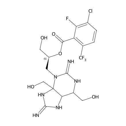 N=C1NC2C(CO)NC(=N)N(C[C@@H](CO)OC(=O)c3c(C(F)(F)F)ccc(Cl)c3F)C2(CO)N1